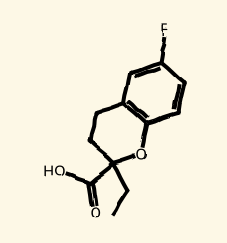 CCC1(C(=O)O)CCc2cc(F)ccc2O1